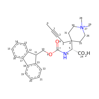 CC#CCC1([C@@H](NC(=O)OCC2c3ccccc3-c3ccccc32)C(=O)O)CC[N+](C)(C)CC1